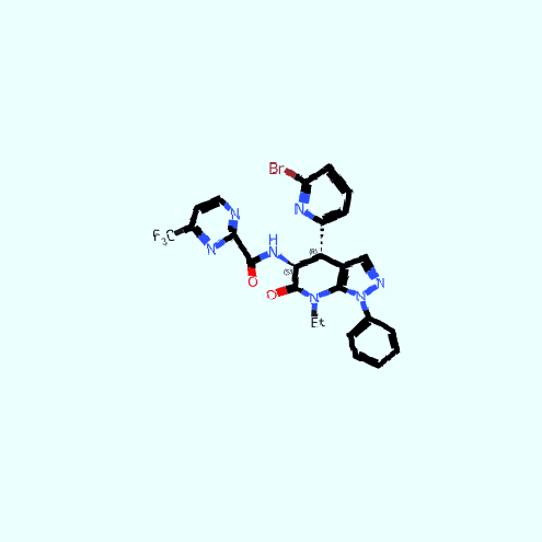 CCN1C(=O)[C@@H](NC(=O)c2nccc(C(F)(F)F)n2)[C@H](c2cccc(Br)n2)c2cnn(-c3ccccc3)c21